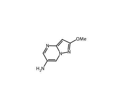 COc1cc2ncc(N)cn2n1